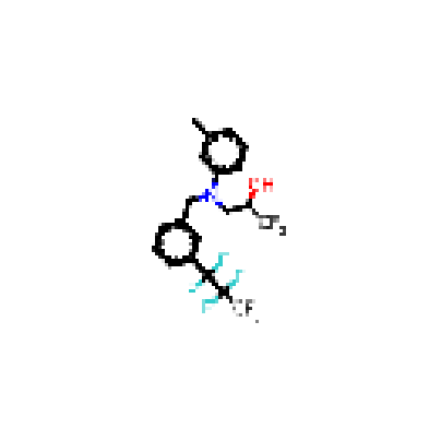 Cc1cccc(N(Cc2cccc(C(F)(F)C(F)(F)C(F)(F)F)c2)C[C@@H](O)C(F)(F)F)c1